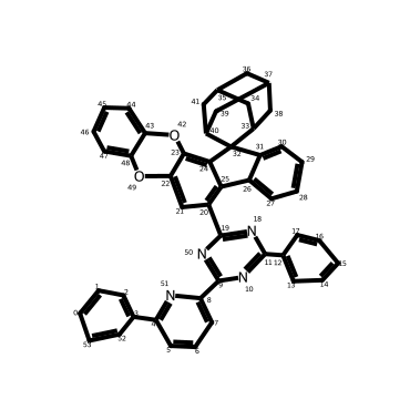 c1ccc(-c2cccc(-c3nc(-c4ccccc4)nc(-c4cc5c(c6c4-c4ccccc4C64C6CC7CC(C6)CC4C7)Oc4ccccc4O5)n3)n2)cc1